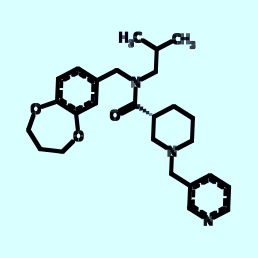 CC(C)CN(Cc1ccc2c(c1)OCCCO2)C(=O)[C@@H]1CCCN(Cc2cccnc2)C1